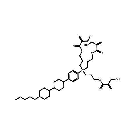 C=C(CO)C(=O)OCCCS(CCCOC(=O)C(=C)CO)(CCCOC(=O)C(=C)CO)c1ccc(C2CCC(C3CCC(CCCCC)CC3)CC2)cc1